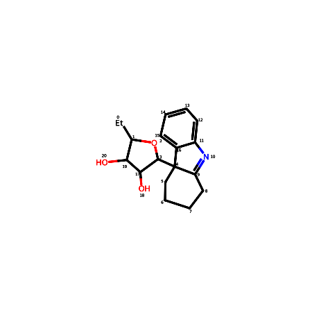 CCC1OC(C23CCCCC2=Nc2ccccc23)C(O)C1O